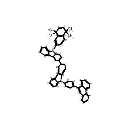 CC1(C)CCC(C)(C)c2cc(-n3c4ccccc4c4cc(-c5ccc6c(c5)c5ccccc5n6-c5ccc(-c6cc7ccccc7c7ccccc67)cc5)ccc43)ccc21